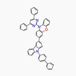 c1ccc(-c2ccc(-n3c4ccccc4c4cc(-c5ccc6c(c5)Oc5ccccc5N6c5nc(-c6ccccc6)cc(-c6ccccc6)n5)ccc43)cc2)cc1